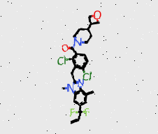 C=CC(F)(F)c1cc(C)c2nc(Cc3c(Cl)ccc(C(=O)N4CCC(C5COC5)CC4)c3Cl)n(C)c2c1